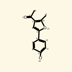 CC(=O)c1cc(-c2ccc(Cl)cc2)oc1C